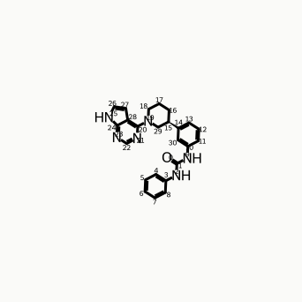 O=C(Nc1ccccc1)Nc1cccc([C@@H]2CCCN(c3ncnc4[nH]ccc34)C2)c1